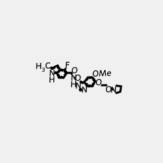 COc1cc2c(ONC(=O)c3ccc4[nH]c(C)cc4c3F)ncnc2cc1OCCON1CCCC1